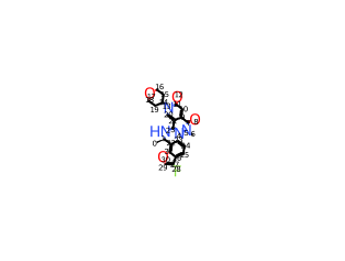 C[C@@H](Nc1nn(C)c(=O)c2cc(=O)n(C3CCOCC3)cc12)c1cccc2c(F)coc12